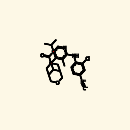 [C-]#[N+]c1ccc(Nc2nccc(OC3C4COCC3CN(C(=O)OC(C)C)C4)c2C)c(Cl)c1